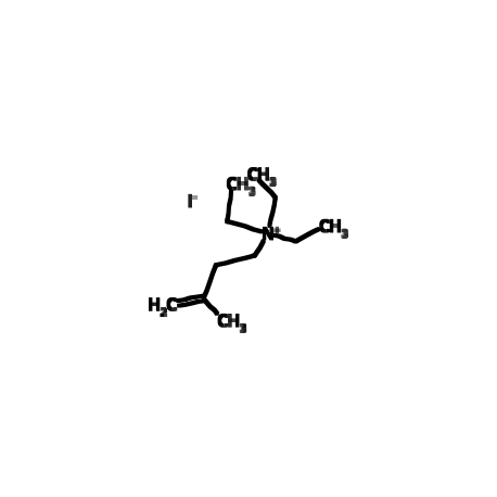 C=C(C)CC[N+](CC)(CC)CC.[I-]